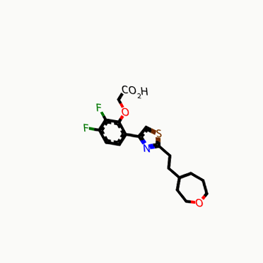 O=C(O)COc1c(-c2csc(CCC3CCCOCC3)n2)ccc(F)c1F